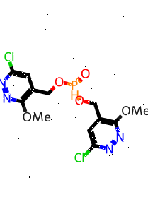 COc1nnc(Cl)cc1CO[PH](=O)OCc1cc(Cl)nnc1OC